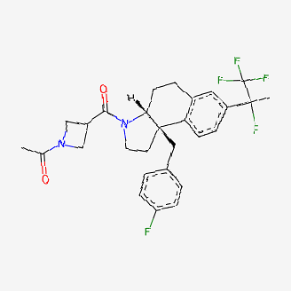 CC(=O)N1CC(C(=O)N2CC[C@@]3(Cc4ccc(F)cc4)c4ccc(C(C)(F)C(F)(F)F)cc4CC[C@@H]23)C1